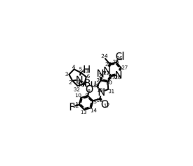 CCCCN1C2CC[C@@H]1CC(Oc1cc(F)ccc1C(=O)N1Cc3nn4c(C)c(Cl)cnc4c3C1)C2